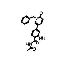 CC(=O)Nc1n[nH]c2cc(-c3ccc(=O)n(Cc4ccccc4)c3)ccc12